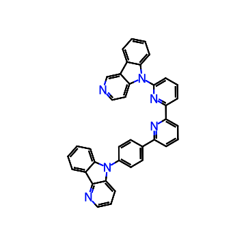 c1cc(-c2ccc(-n3c4ccccc4c4ncccc43)cc2)nc(-c2cccc(-n3c4ccccc4c4cnccc43)n2)c1